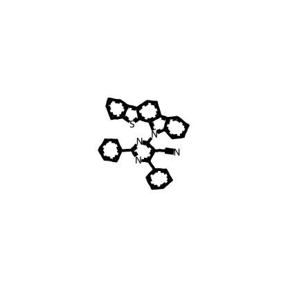 N#Cc1c(-c2ccccc2)nc(-c2ccccc2)nc1-n1c2ccccc2c2ccc3c4ccccc4sc3c21